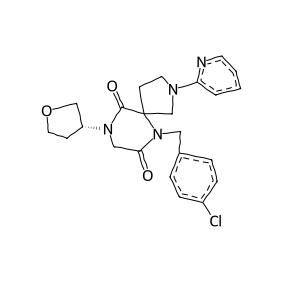 O=C1CN([C@@H]2CCOC2)C(=O)C2(CCN(c3ccccn3)C2)N1Cc1ccc(Cl)cc1